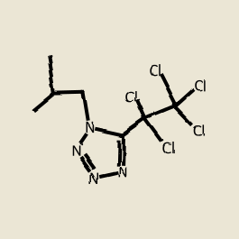 CC(C)Cn1nnnc1C(Cl)(Cl)C(Cl)(Cl)Cl